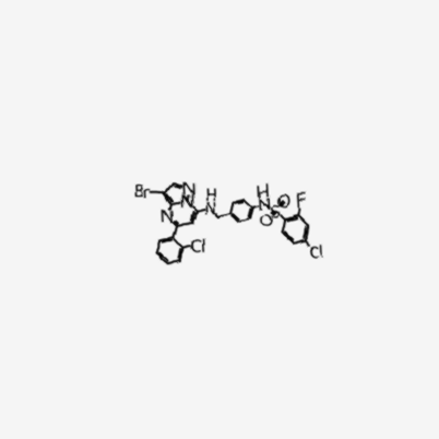 O=S(=O)(Nc1ccc(CNc2cc(-c3ccccc3Cl)nc3c(Br)cnn23)cc1)c1ccc(Cl)cc1F